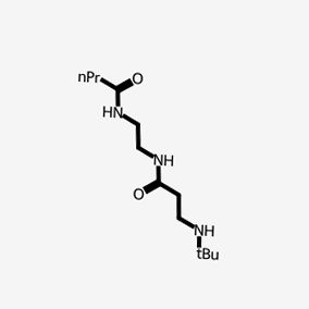 CCCC(=O)NCCNC(=O)CCNC(C)(C)C